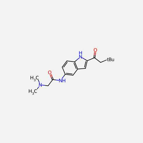 CN(C)CC(=O)Nc1ccc2[nH]c(C(=O)CC(C)(C)C)cc2c1